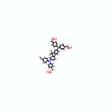 CCc1ccc(N(c2ccc(CO)cc2)c2ccc3c(c2)C(C)(C)c2cc(N(c4ccc(CO)cc4)c4ccc(CO)cc4)ccc2-3)cc1